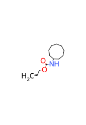 C=CCOC(=O)NC1CCCCCCCC1